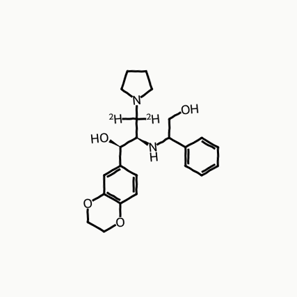 [2H]C([2H])([C@@H](NC(CO)c1ccccc1)[C@H](O)c1ccc2c(c1)OCCO2)N1CCCC1